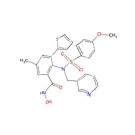 COc1ccc(S(=O)(=O)N(Cc2cccnc2)c2c(C(=O)NO)cc(C)cc2-c2cccs2)cc1